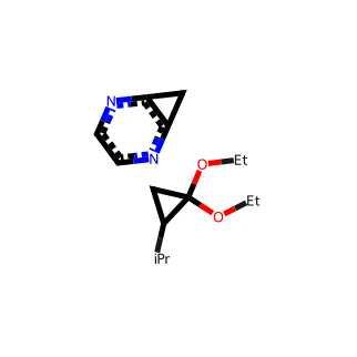 CCOC1(OCC)CC1C(C)C.c1cnc2c(n1)C2